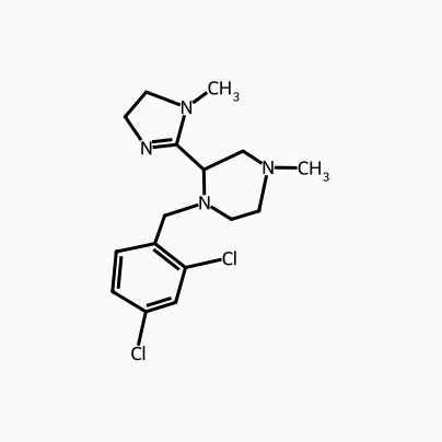 CN1CCN(Cc2ccc(Cl)cc2Cl)C(C2=NCCN2C)C1